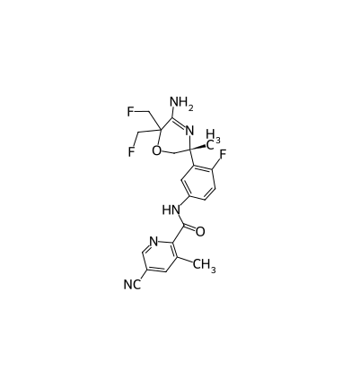 Cc1cc(C#N)cnc1C(=O)Nc1ccc(F)c([C@]2(C)COC(CF)(CF)C(N)=N2)c1